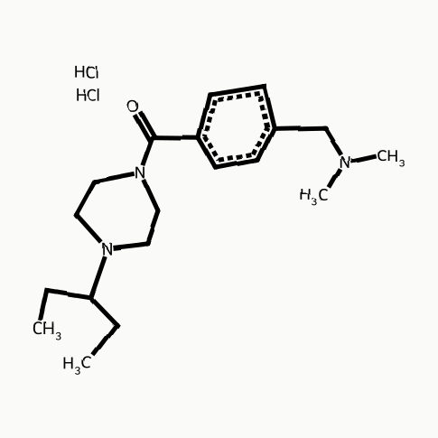 CCC(CC)N1CCN(C(=O)c2ccc(CN(C)C)cc2)CC1.Cl.Cl